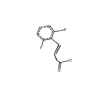 O=C(Cl)C=Cc1c(F)cccc1F